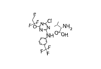 CC(C)[C@H](N)C(=O)O.FCC(F)(F)Oc1nc(Cl)nc(Nc2cccc(C(F)(F)F)c2)n1